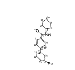 C[C@H]1CC[C@@H](NC(=O)c2ccc(-c3cccc(F)c3)nc2)CC1